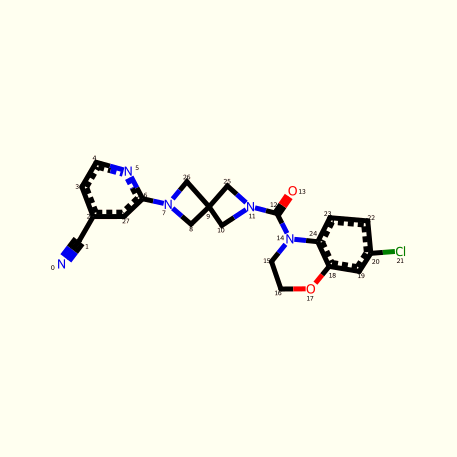 N#Cc1ccnc(N2CC3(CN(C(=O)N4CCOc5cc(Cl)ccc54)C3)C2)c1